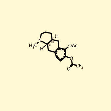 CC(=O)Oc1c(OC(=O)C(F)(F)F)ccc2c1C[C@@H]1CCCN(C)[C@H]1C2